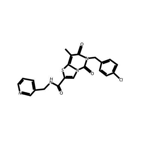 Cc1c(=O)n(Cc2ccc(Cl)cc2)c(=O)n2cc(C(=O)NCc3cccnc3)sc12